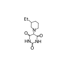 CCC1CCCN(C2C(=O)NC(=O)NC2=O)C1